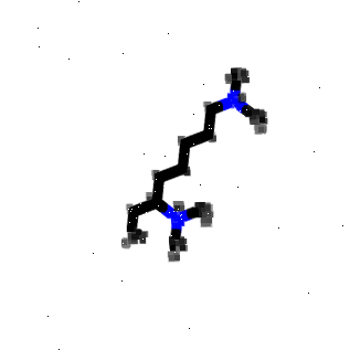 [CH2]C(C)CC(CCCCCN(CC)CC)N(CC)CC